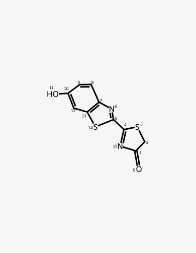 O=C1CSC(c2nc3ccc(O)cc3s2)=N1